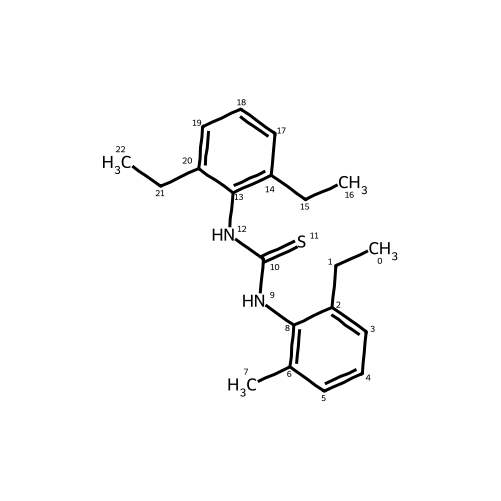 CCc1cccc(C)c1NC(=S)Nc1c(CC)cccc1CC